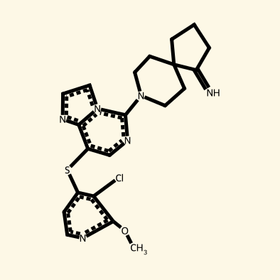 COc1nccc(Sc2cnc(N3CCC4(CCCC4=N)CC3)n3ccnc23)c1Cl